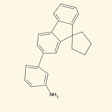 Nc1cccc(-c2ccc3c(c2)C2(CCCC2)c2ccccc2-3)c1